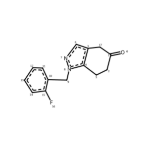 O=C1CCc2c(cnn2Cc2ccccc2F)C1